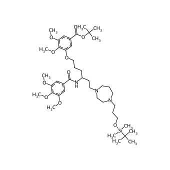 COc1cc(C(=O)NC(CCCOc2cc(C(=O)OC(C)(C)C)cc(OC)c2OC)CCN2CCCN(CCCO[Si](C)(C)C(C)(C)C)CC2)cc(OC)c1OC